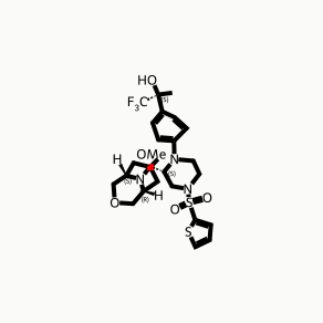 COC1C[C@H]2COC[C@@H](C1)N2C[C@H]1CN(S(=O)(=O)c2cccs2)CCN1c1ccc([C@](C)(O)C(F)(F)F)cc1